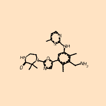 Cc1ccnc(Nc2cc(-c3cnc(N4CCNC(=O)C4(C)C)o3)c(C)c(CN)c2C)n1